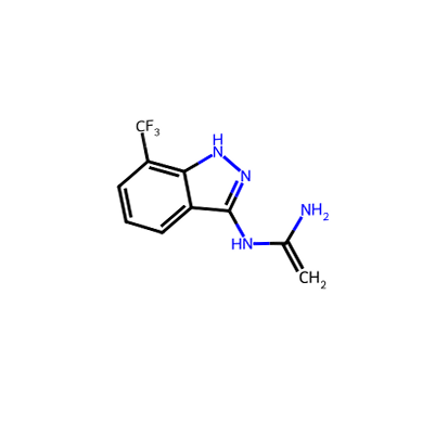 C=C(N)Nc1n[nH]c2c(C(F)(F)F)cccc12